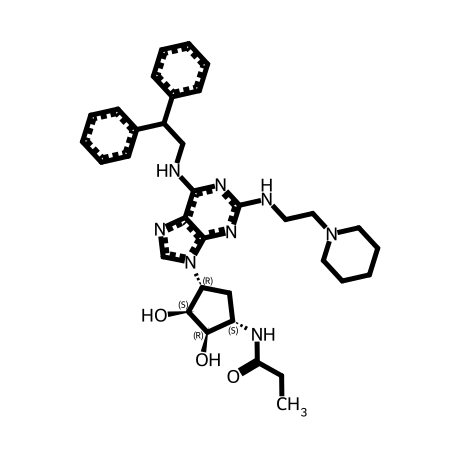 CCC(=O)N[C@H]1C[C@@H](n2cnc3c(NCC(c4ccccc4)c4ccccc4)nc(NCCN4CCCCC4)nc32)[C@H](O)[C@@H]1O